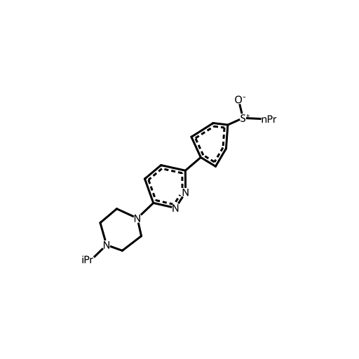 CCC[S+]([O-])c1ccc(-c2ccc(N3CCN(C(C)C)CC3)nn2)cc1